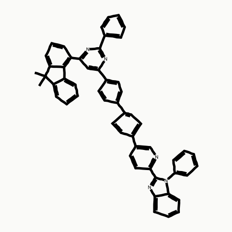 CC1(C)c2ccccc2-c2c(-c3cc(-c4ccc(-c5ccc(-c6ccc(-c7nc8ccccc8n7-c7ccccc7)nc6)cc5)cc4)nc(-c4ccccc4)n3)cccc21